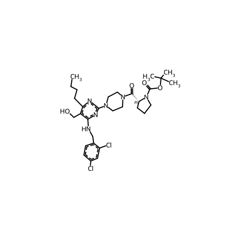 CCCCc1nc(N2CCN(C(=O)[C@H]3CCCN3C(=O)OC(C)(C)C)CC2)nc(NCc2ccc(Cl)cc2Cl)c1CO